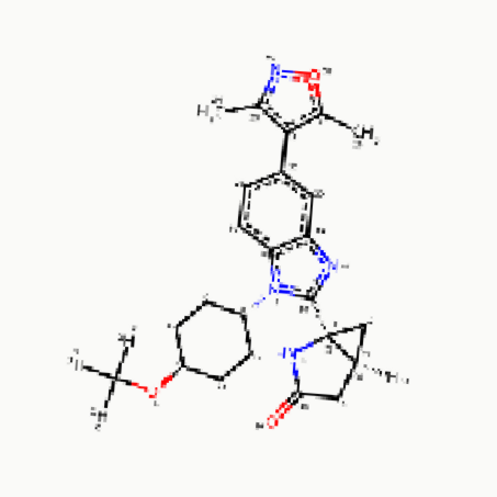 [2H]C([2H])([2H])O[C@H]1CC[C@H](n2c([C@]34C[C@H]3CC(=O)N4)nc3cc(-c4c(C)noc4C)ccc32)CC1